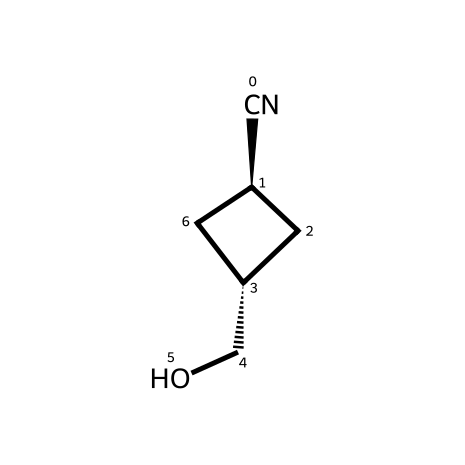 N#C[C@H]1C[C@H](CO)C1